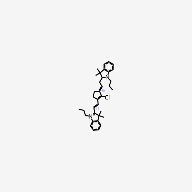 CCCN1c2ccccc2C(C)(C)C1C/C=C1\CCC(/C=C/C2=[N+](CCC)c3ccccc3C2(C)C)=C1Cl